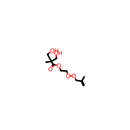 C=C(C)COOCCOC(=O)C(C)(CO)CO